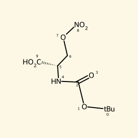 CC(C)(C)OC(=O)N[C@@H](CO[N+](=O)[O-])C(=O)O